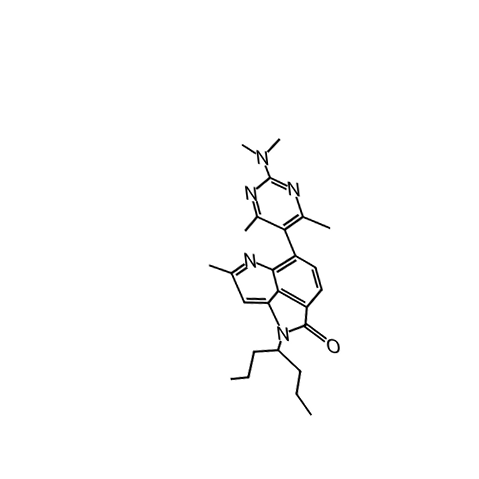 CCCC(CCC)N1C(=O)c2ccc(-c3c(C)nc(N(C)C)nc3C)c3nc(C)cc1c23